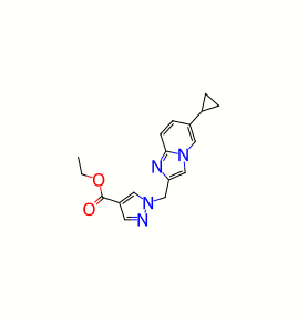 CCOC(=O)c1cnn(Cc2cn3cc(C4CC4)ccc3n2)c1